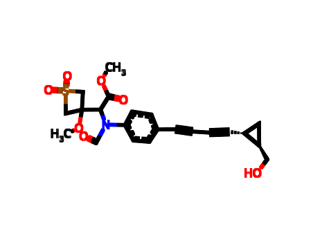 COC(=O)C(N(C=O)c1ccc(C#CC#C[C@@H]2C[C@H]2CO)cc1)C1(OC)CS(=O)(=O)C1